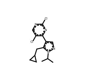 CC(C)n1ncc(-c2nc(Cl)ncc2Cl)c1CC1CC1